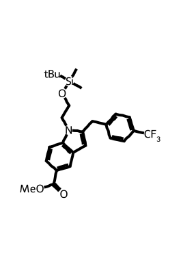 COC(=O)c1ccc2c(c1)cc(Cc1ccc(C(F)(F)F)cc1)n2CCO[Si](C)(C)C(C)(C)C